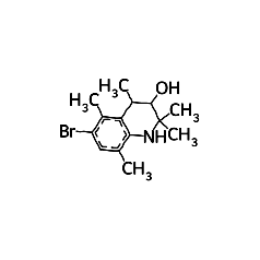 Cc1cc(Br)c(C)c2c1NC(C)(C)C(O)C2C